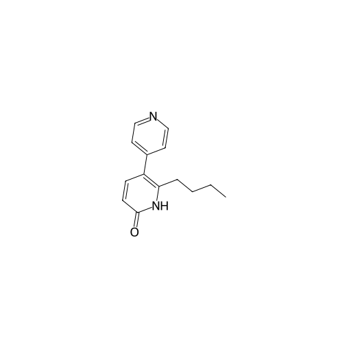 CCCCc1[nH]c(=O)ccc1-c1ccncc1